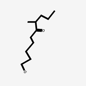 CCCC(C)C(=O)CCCCC[O]